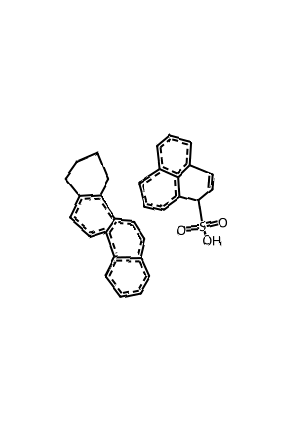 O=S(=O)(O)C1C=Cc2cccc3cccc1c23.c1ccc2c(c1)ccc1c3c(ccc12)CCCC3